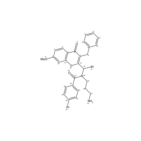 COc1ccc2c(=O)c(Cc3ccccc3)c(C(C(C)C)N(CCCN)C(=O)c3ccc(C(C)=O)cc3)oc2c1